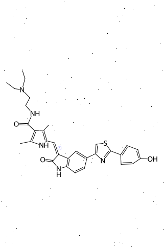 CCN(CC)CCNC(=O)c1c(C)[nH]c(/C=C2\C(=O)Nc3ccc(-c4csc(-c5ccc(O)cc5)n4)cc32)c1C